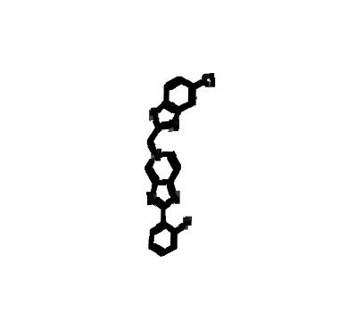 Fc1ccccc1-c1nc2ccn(Cc3nc4cc(Cl)ccc4s3)cc-2n1